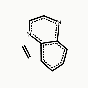 C=C.c1ccc2nccnc2c1